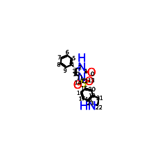 O=C1N[C@@H](c2ccccc2)CN1S(=O)(=O)c1ccc2c(c1)CCN2